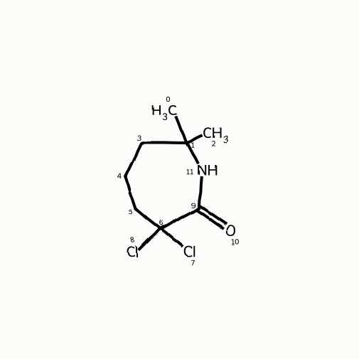 CC1(C)CCCC(Cl)(Cl)C(=O)N1